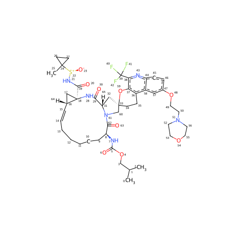 CC(C)COC(=O)N[C@H]1CCCCC/C=C\[C@@H]2C[C@@]2(C(=O)N[S@+]([O-])C2(C)CC2)NC(=O)[C@@H]2C[C@]3(CCc4c(c(C(F)(F)F)nc5ccc(OCCN6CCOCC6)cc45)O3)CN2C1=O